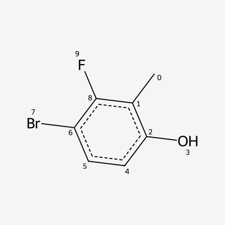 Cc1c(O)ccc(Br)c1F